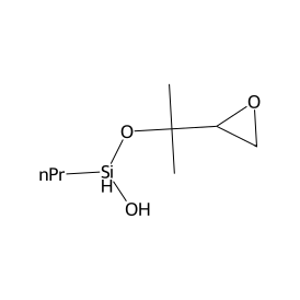 CCC[SiH](O)OC(C)(C)C1CO1